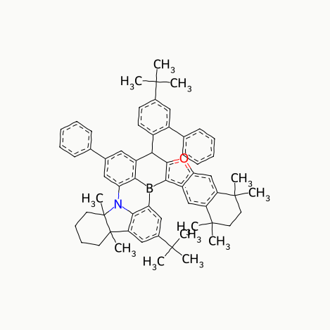 CC(C)(C)c1ccc(C2c3cc(-c4ccccc4)cc4c3B(c3cc(C(C)(C)C)cc5c3N4C3(C)CCCCC53C)c3c2oc2cc4c(cc32)C(C)(C)CCC4(C)C)c(-c2ccccc2)c1